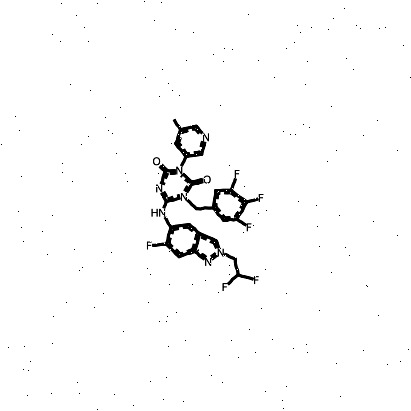 Cc1cncc(-n2c(=O)nc(Nc3cc4cn(CC(F)F)nc4cc3F)n(Cc3cc(F)c(F)c(F)c3)c2=O)c1